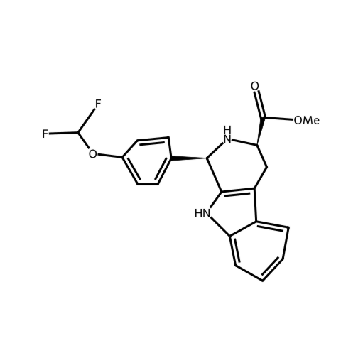 COC(=O)[C@H]1Cc2c([nH]c3ccccc23)[C@@H](c2ccc(OC(F)F)cc2)N1